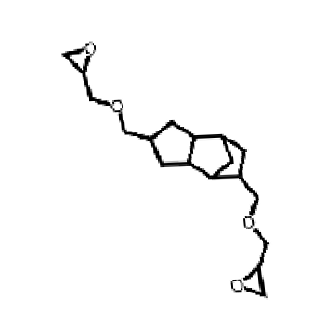 C(OCC1CO1)C1CC2C3CC(COCC4CO4)C(C3)C2C1